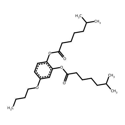 CCCCOc1ccc(OC(=O)CCCCC(C)C)c(OC(=O)CCCCC(C)C)c1